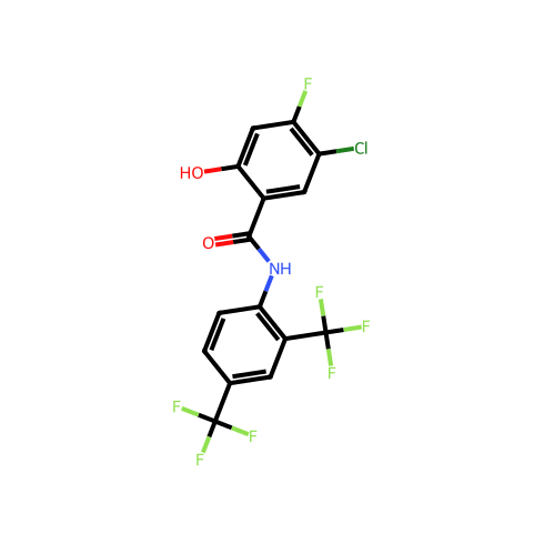 O=C(Nc1ccc(C(F)(F)F)cc1C(F)(F)F)c1cc(Cl)c(F)cc1O